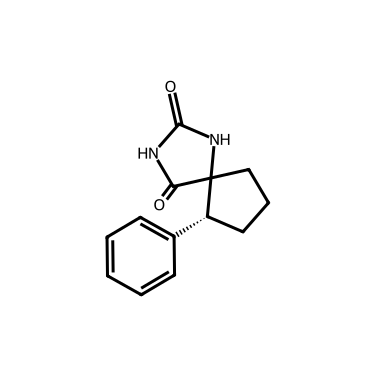 O=C1NC(=O)C2(CCC[C@@H]2c2ccccc2)N1